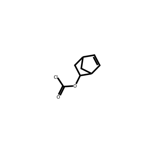 O=C(Cl)OC1CC2C=CC1C2